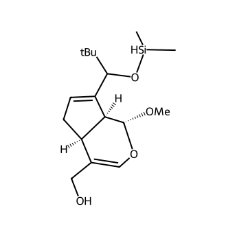 CO[C@@H]1OC=C(CO)[C@H]2CC=C(C(O[SiH](C)C)C(C)(C)C)[C@@H]12